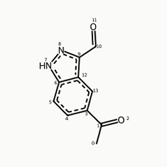 CC(=O)c1ccc2[nH]nc(C=O)c2c1